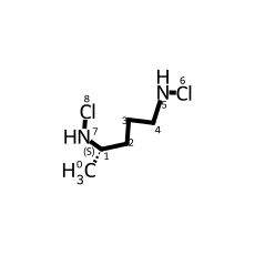 C[C@@H](CCCNCl)NCl